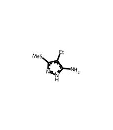 [CH2]Cc1c(SC)n[nH]c1N